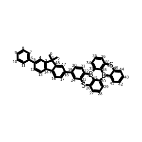 CC1(C)c2cc(-c3ccccc3)ccc2-c2ccc(-c3ccc4c(c3)Sc3cccc5c3B4c3cccc4c3B5c3ccccc3S4)cc21